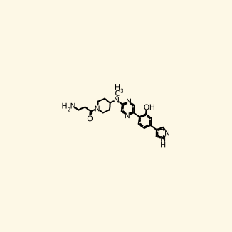 CN(c1cnc(-c2ccc(-c3cn[nH]c3)cc2O)cn1)C1CCN(C(=O)CCN)CC1